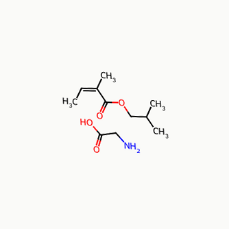 C/C=C(/C)C(=O)OCC(C)C.NCC(=O)O